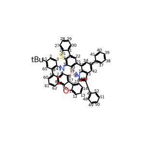 CC(C)(C)c1ccc(N2c3ccc4oc5ccccc5c4c3B3c4c(cc5c(sc6ccccc65)c42)-c2cc(-c4ccccc4)cc4c5cc(-c6ccccc6)ccc5n3c24)c(-c2ccccc2)c1